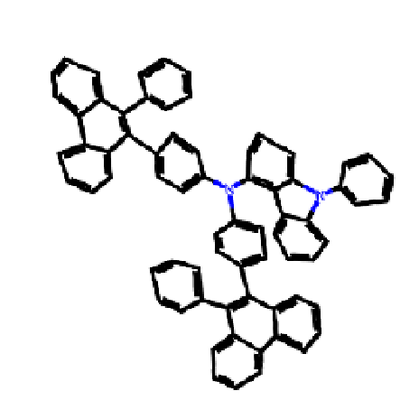 c1ccc(-c2c(-c3ccc(N(c4ccc(-c5c(-c6ccccc6)c6ccccc6c6ccccc56)cc4)c4cccc5c4c4ccccc4n5-c4ccccc4)cc3)c3ccccc3c3ccccc23)cc1